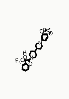 CS(=O)(=O)c1ccc(N2CCC(C3CCN(C(=O)C(O)(c4ccccc4)C(F)(F)F)CC3)CC2)cc1Cl